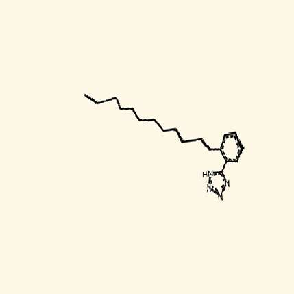 CCCCCCCCCCCCc1ccccc1-c1nnn[nH]1